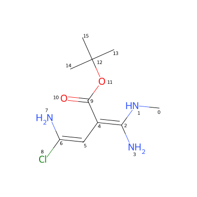 CN/C(N)=C(/C=C(\N)Cl)C(=O)OC(C)(C)C